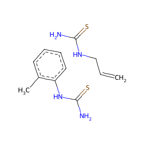 C=CCNC(N)=S.Cc1ccccc1NC(N)=S